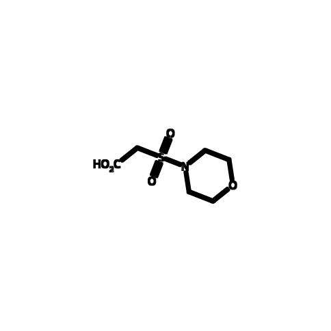 O=C(O)CS(=O)(=O)N1CCOCC1